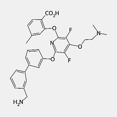 Cc1ccc(C(=O)O)c(Oc2nc(Oc3cccc(-c4cccc(CN)c4)c3)c(F)c(OCCN(C)C)c2F)c1